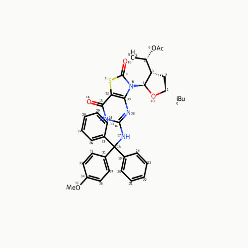 CC[C@H](C)[C@@H]1C[C@@H]([C@H](C)OC(C)=O)[C@H](n2c(=O)sc3c(=O)[nH]c(NC(c4ccccc4)(c4ccccc4)c4ccc(OC)cc4)nc32)O1